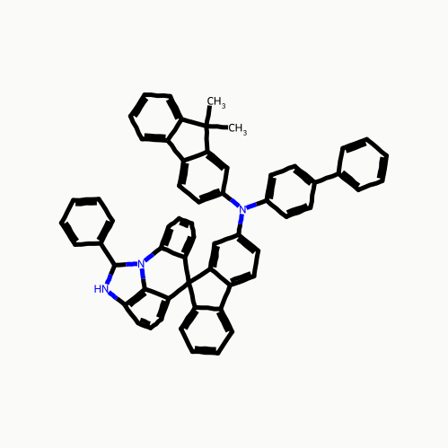 CC1(C)c2ccccc2-c2ccc(N(c3ccc(-c4ccccc4)cc3)c3ccc4c(c3)C3(c5ccccc5-4)c4ccccc4N4c5c(cccc53)NC4c3ccccc3)cc21